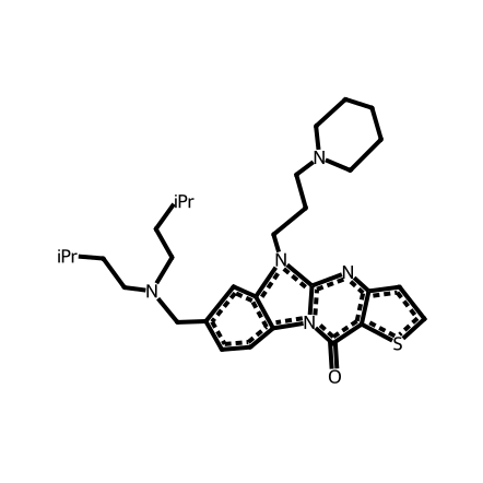 CC(C)CCN(CCC(C)C)Cc1ccc2c(c1)n(CCCN1CCCCC1)c1nc3ccsc3c(=O)n21